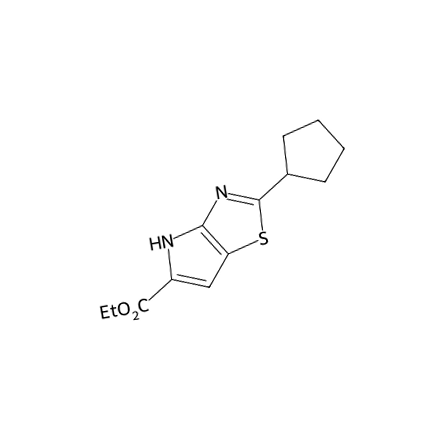 CCOC(=O)c1cc2sc(C3CCCC3)nc2[nH]1